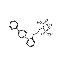 O=P(O)(O)C(CCCc1ccccc1-c1ccc(-c2ccccn2)cc1)S(=O)(=O)O